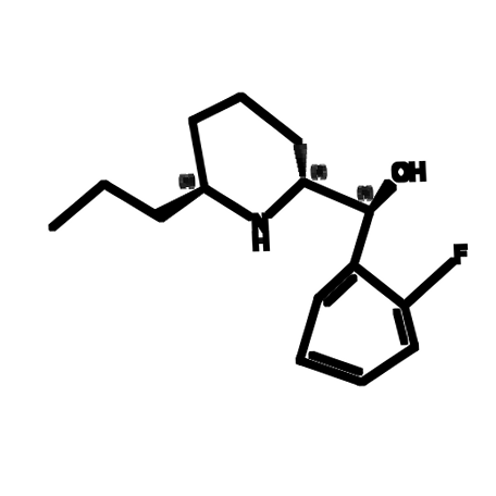 CCC[C@H]1CCC[C@H]([C@@H](O)c2ccccc2F)N1